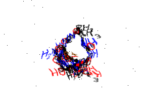 CC[C@H](C)[C@@H]1CNC(=O)CNC(=O)[C@@H]2Cc3c([nH]c4ccc(NC(C)=O)cc34)[S+]([O-])C[C@H](NC(=O)CNC1=O)C(=O)N[C@@H](CC(N)=O)C(=O)N1C[C@H](O)C[C@H]1C(=O)N[C@@H](C(C)C(O)CO)C(=O)N2